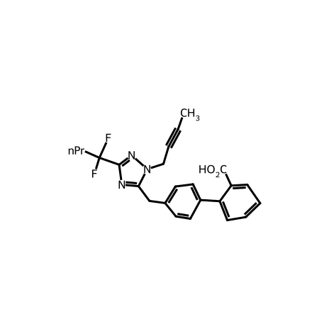 CC#CCn1nc(C(F)(F)CCC)nc1Cc1ccc(-c2ccccc2C(=O)O)cc1